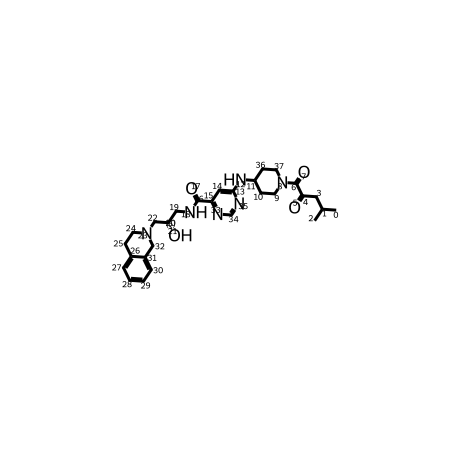 CC(C)CC(=O)C(=O)N1CCC(Nc2cc(C(=O)NC[C@H](O)CN3CCc4ccccc4C3)ncn2)CC1